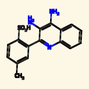 Cc1ccc(S(=O)(=O)O)c(-c2nc3ccccc3c(N)c2N)c1